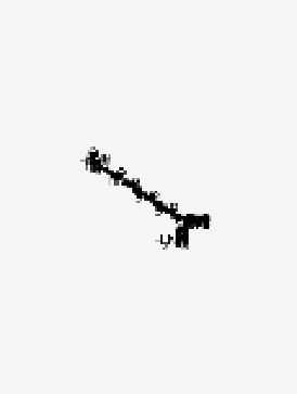 CC1(C)OB(c2ccc(OCCC(=O)CCC(=O)CCC(=O)CCC(=O)CCC(=O)CCNC(=O)CCCC[C@@H]3SC[C@@H]4NC(=O)N[C@@H]43)c(-c3ccc4c(N)cnnc4c3)c2)OC1(C)C